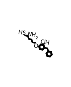 Cl.N[C@H](CS)CCCCOc1ccc(Cc2ccccc2)cc1